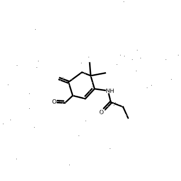 C=C1CC(C)(C)C(NC(=O)CC)=CC1C=O